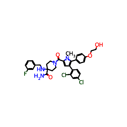 Cn1c(C(=O)N2CCC(NCc3cccc(F)c3)(C(N)=O)CC2)cc(-c2ccc(Cl)cc2Cl)c1-c1ccc(OCCO)cc1